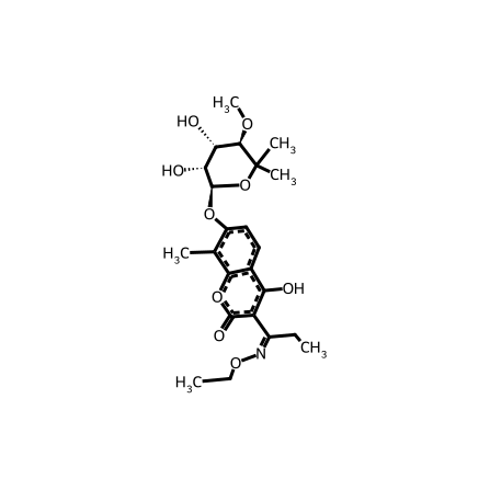 CCO/N=C(/CC)c1c(O)c2ccc(O[C@@H]3OC(C)(C)[C@H](OC)[C@@H](O)[C@H]3O)c(C)c2oc1=O